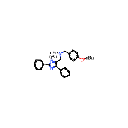 CCCCOc1ccc(CN(CCC)Cc2c(-c3ccccc3)nc(-c3ccccc3)n2CCCC)cc1